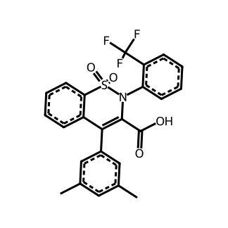 Cc1cc(C)cc(C2=C(C(=O)O)N(c3ccccc3C(F)(F)F)S(=O)(=O)c3ccccc32)c1